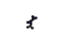 c1ccc(-c2cc(-c3ccccc3)cc(-c3ccc4c5cc(-c6ccc7c(c6)c6ccccc6n7-c6ccccc6)ccc5n(-c5ccccc5)c4c3)c2)cc1